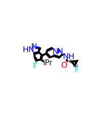 CC(C)c1c(F)cc2[nH]ncc2c1-c1ccn2nc(NC(=O)[C@@H]3C[C@@H]3F)cc2c1